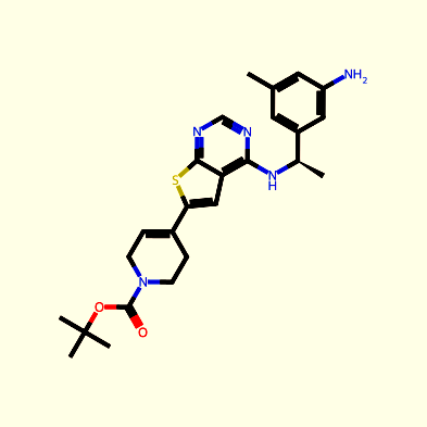 Cc1cc(N)cc([C@@H](C)Nc2ncnc3sc(C4=CCN(C(=O)OC(C)(C)C)CC4)cc23)c1